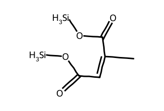 C/C(=C/C(=O)O[SiH3])C(=O)O[SiH3]